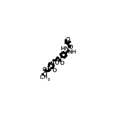 CCOC(=O)CN1CCN(CC2CN(c3ccc(C(=N)NC(=O)c4ccoc4)cc3)C(=O)O2)CC1=O